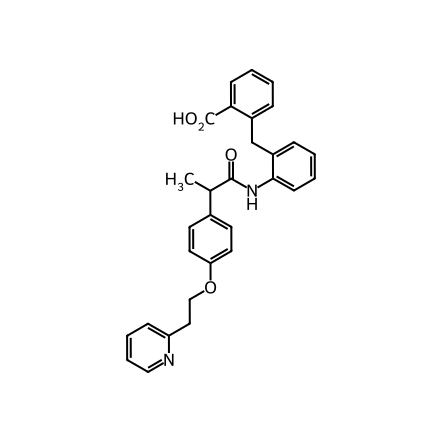 CC(C(=O)Nc1ccccc1Cc1ccccc1C(=O)O)c1ccc(OCCc2ccccn2)cc1